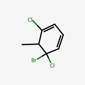 CC1C(Cl)=CC=CC1(Cl)Br